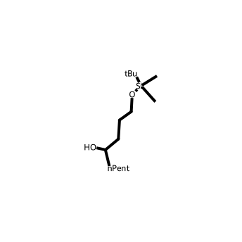 CCCCCC(O)CCCO[Si](C)(C)C(C)(C)C